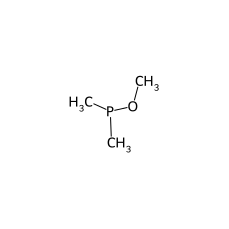 COP(C)C